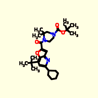 CC(C)(C)OC(=O)N1CCN(C(=O)c2cc3nc(C4CCCCC4)cc(C(C)(C)C)c3o2)C(C)(C)C1